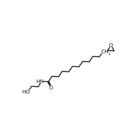 C1CO1.CCCCCCCCCCCC(=O)NCCO